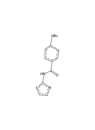 CCCCc1ccc(C(=O)Nc2nccs2)cc1